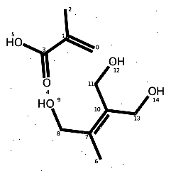 C=C(C)C(=O)O.CC(CO)=C(CO)CO